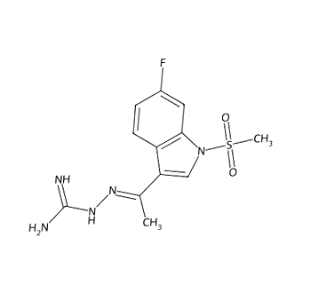 CC(=NNC(=N)N)c1cn(S(C)(=O)=O)c2cc(F)ccc12